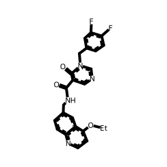 CCOc1ccnc2ccc(CNC(=O)c3cncn(Cc4ccc(F)c(F)c4)c3=O)cc12